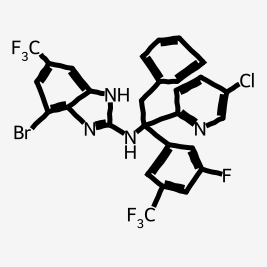 Fc1cc(C(F)(F)F)cc(C(Cc2ccccc2)(Nc2nc3c(Br)cc(C(F)(F)F)cc3[nH]2)c2ccc(Cl)cn2)c1